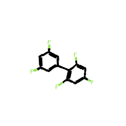 Fc1[c]c(F)cc(-c2c(F)cc(F)cc2F)c1